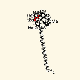 C/C=C\C#C[C@H](O[C@@H]1O[C@H](C)C[C@H](O)[C@H]1O[C@H]1C[C@H](OC)[C@@H](N(CC)CCCOCCOCCOCCOCCOCCOCCN)CO1)C1=C(NC(=O)OC)C(=O)C[C@](N)(O)/C1=C/CSSC(C)(C)C